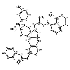 C[C@@H](COc1ccnc2c1[C@H](C)CCC2)C[C@H]1Cc2cc3c(cc2C12CCC(Nc1cccc(Cl)c1)(C(=O)O)CC2)O[C@H](CN(C)Cc1ccncn1)CO3